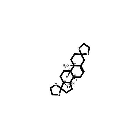 C[C@]12CCC3(CC1=CC[C@@H]1[C@@H]2CC[C@@]2(C)[C@H]1CCC21OCCO1)OCCO3